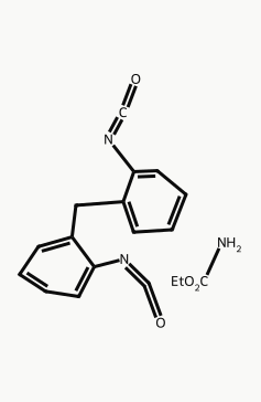 CCOC(N)=O.O=C=Nc1ccccc1Cc1ccccc1N=C=O